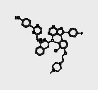 Cc1c(-c2c(-c3ccc(F)cc3)sc3ncnc(OC(Cc4ccccc4OCc4ccnc(-c5ccc(O)cc5)n4)C(=O)O)c23)ccc(OCCN2CCN(C)CC2)c1Cl